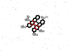 CC(C)(C)c1ccc(P(c2ccc(C(C)(C)C)cc2)c2ccc3ccccc3c2-c2c(P(c3ccc(C(C)(C)C)cc3)c3ccc(C(C)(C)C)cc3)ccc3ccccc23)cc1.[F-].[F-].[Ru+2]